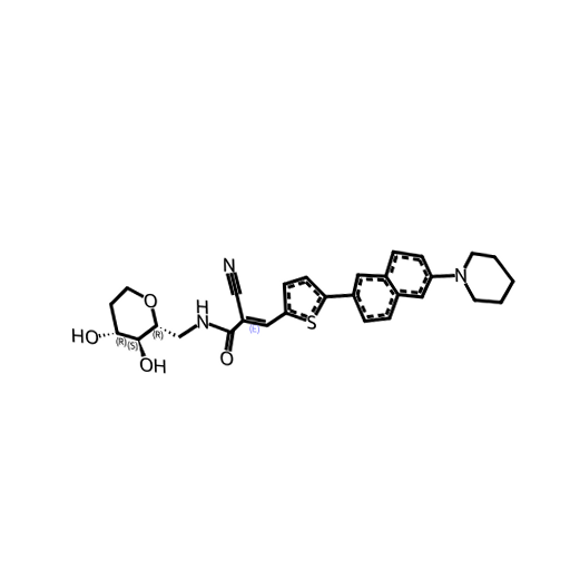 N#C/C(=C\c1ccc(-c2ccc3cc(N4CCCCC4)ccc3c2)s1)C(=O)NC[C@H]1OCC[C@@H](O)[C@@H]1O